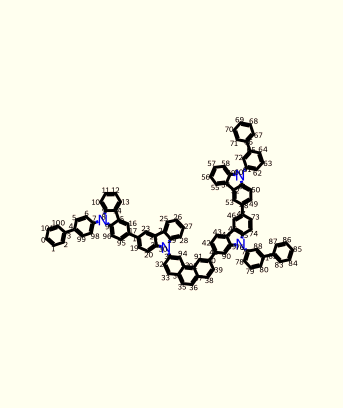 c1ccc(-c2ccc(-n3c4ccccc4c4cc(-c5ccc6c(c5)c5ccccc5n6-c5ccc6ccc7ccc(-c8ccc9c%10cc(-c%11ccc%12c(c%11)c%11ccccc%11n%12-c%11cccc(-c%12ccccc%12)c%11)ccc%10n(-c%10cccc(-c%11ccccc%11)c%10)c9c8)cc7c6c5)ccc43)cc2)cc1